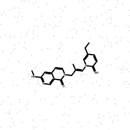 CCc1ccc(=N)n(/C=C(\C)Cn2ccc3cc(NC)ncc3c2=O)c1